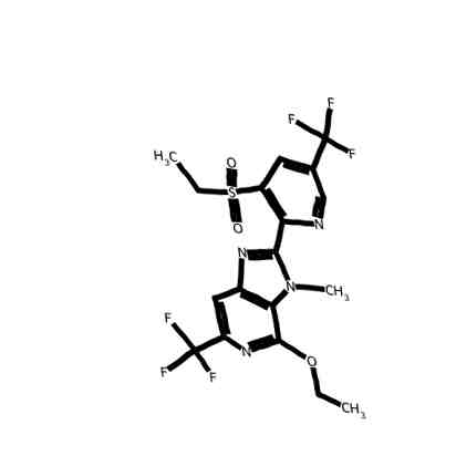 CCOc1nc(C(F)(F)F)cc2nc(-c3ncc(C(F)(F)F)cc3S(=O)(=O)CC)n(C)c12